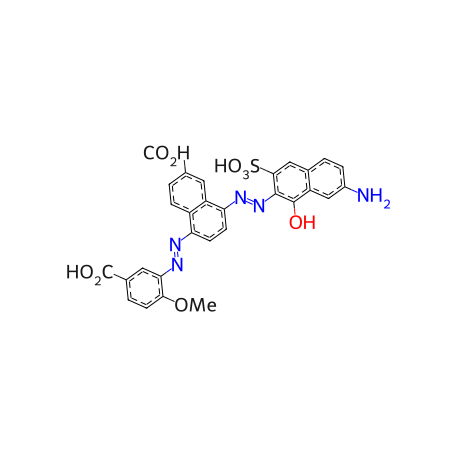 COc1ccc(C(=O)O)cc1N=Nc1ccc(N=Nc2c(S(=O)(=O)O)cc3ccc(N)cc3c2O)c2cc(C(=O)O)ccc12